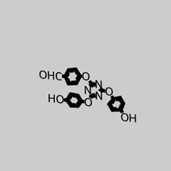 O=Cc1ccc(Oc2nc(Oc3ccc(O)cc3)nc(Oc3ccc(O)cc3)n2)cc1